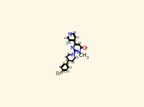 Cn1c(N2CCC(c3ccc(Br)cc3)CC2)nc(-c2ccncc2F)cc1=O